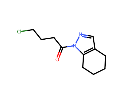 O=C(CCCCl)n1ncc2c1CCCC2